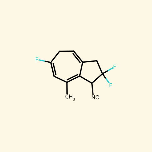 CC1=C2C(=CCC(F)=C1)CC(F)(F)C2N=O